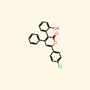 O=c1oc(-c2ccc(Cl)cc2)cc(-c2ccccc2)c1-c1ccccc1O